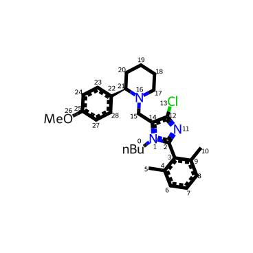 CCCCn1c(-c2c(C)cccc2C)nc(Cl)c1CN1CCCC[C@@H]1c1ccc(OC)cc1